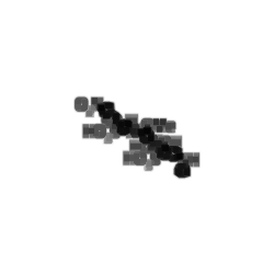 COc1cc(N=Nc2c(S(=O)(=O)O)cc3cc(Nc4ccccc4)ccc3c2O)c(O)cc1N=Nc1ccc(C=Cc2ccc([N+](=O)[O-])cc2S(=O)(=O)O)c(S(=O)(=O)O)c1